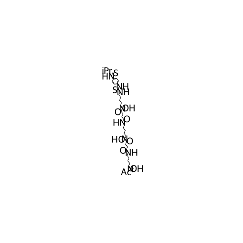 CC(=O)N(O)CCCCCNC(=O)CCC(=O)N(O)CCCCCNC(=O)CCC(=O)N(O)CCCCCNC(=S)Nc1ccc(NC(=S)C(C)C)cc1